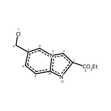 CCOC(=O)c1cn2cc(CCl)ccc2n1